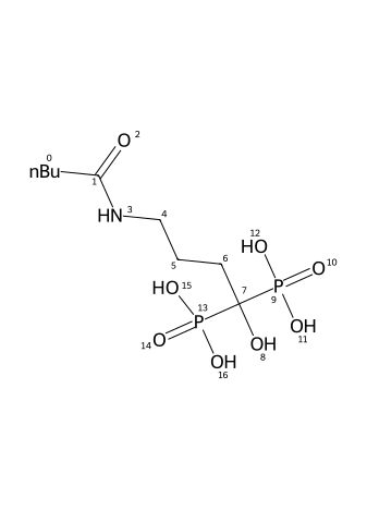 CCCCC(=O)NCCCC(O)(P(=O)(O)O)P(=O)(O)O